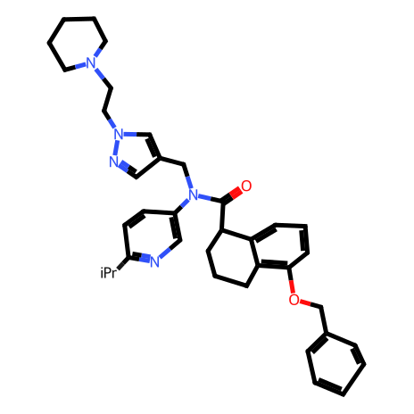 CC(C)c1ccc(N(Cc2cnn(CCN3CCCCC3)c2)C(=O)C2CCCc3c(OCc4ccccc4)cccc32)cn1